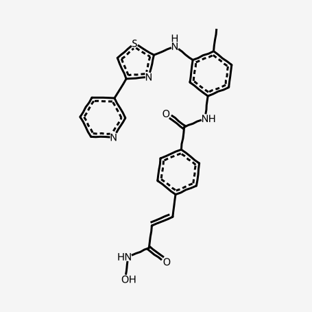 Cc1ccc(NC(=O)c2ccc(C=CC(=O)NO)cc2)cc1Nc1nc(-c2cccnc2)cs1